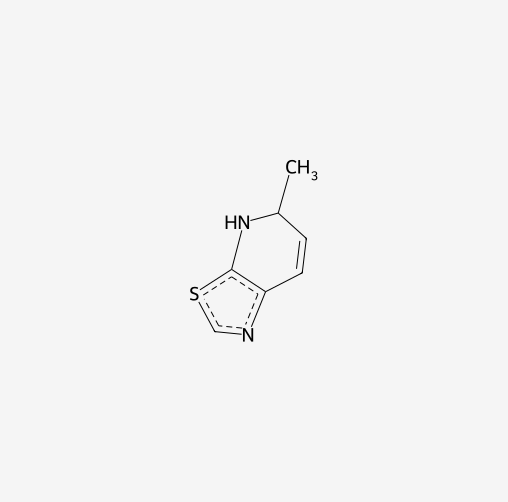 CC1C=Cc2ncsc2N1